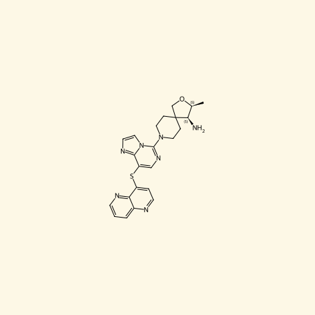 C[C@@H]1OCC2(CCN(c3ncc(Sc4ccnc5cccnc45)c4nccn34)CC2)[C@@H]1N